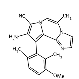 COc1ccc(C)c(-c2c(N)c(C#N)n3cc(C)n4ccnc4c23)c1C